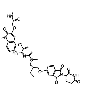 C=C(Cl)/C(=N\C(=C)N(C)C[C@H](CC)COc1ccc2c(c1)C(=O)N(C1CCC(=O)NC1=O)C2=O)Nc1ccc2c(c1)cc(OCC(=O)NC)c(=O)n2C